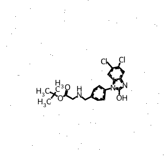 CC(C)(C)OC(=O)CNCc1ccc(-n2c(O)nc3cc(Cl)c(Cl)cc32)cc1